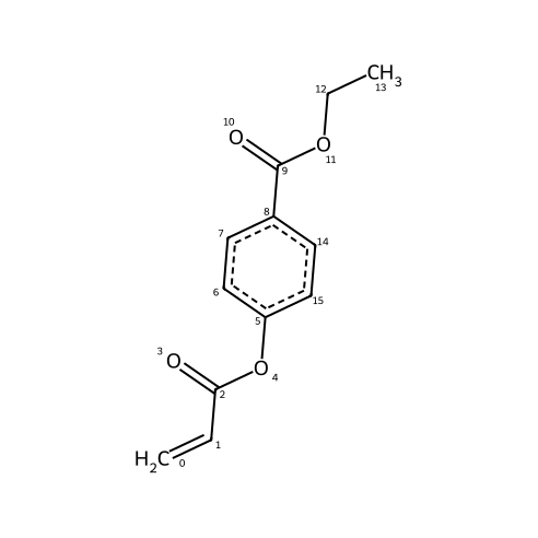 C=CC(=O)Oc1ccc(C(=O)OCC)cc1